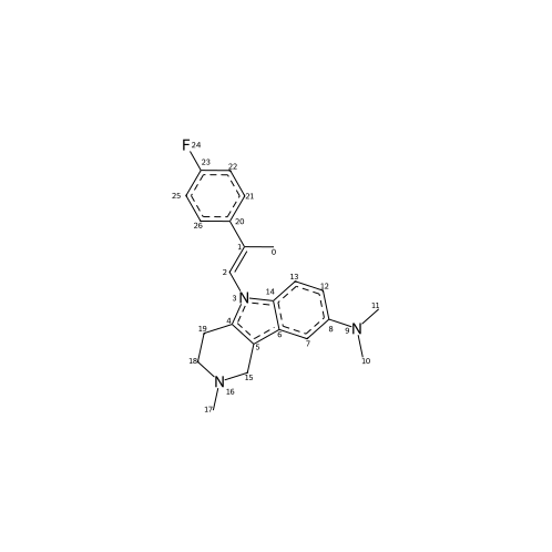 C/C(=C\n1c2c(c3cc(N(C)C)ccc31)CN(C)CC2)c1ccc(F)cc1